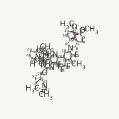 COc1ccc(CN(Cc2ccc(OC)cc2)c2cc(-c3nc4c5c(nc(OCC6(CN7CC7(C)C)CC6)nc5c3F)N3C[C@H]5CC[C@@H]([C@H]3[C@H](C)O4)N5C(=O)O)c(C(F)(F)F)c(C)c2F)cc1